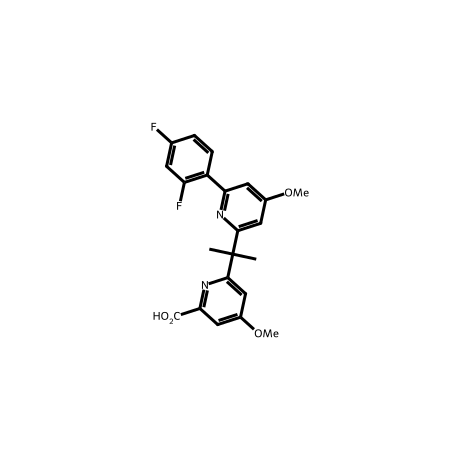 COc1cc(C(=O)O)nc(C(C)(C)c2cc(OC)cc(-c3ccc(F)cc3F)n2)c1